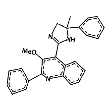 COc1c(-c2ccccc2)nc2ccccc2c1C1=NCC(C)(c2ccccc2)N1